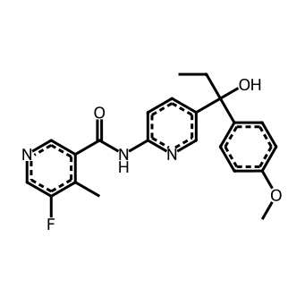 CCC(O)(c1ccc(OC)cc1)c1ccc(NC(=O)c2cncc(F)c2C)nc1